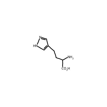 NC(CCc1cn[nH]c1)C(=O)O